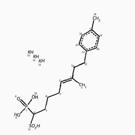 C/C(=C\CCCC(P(=O)(O)O)S(=O)(=O)O)CCc1ccc(C)cc1.[KH].[KH].[KH]